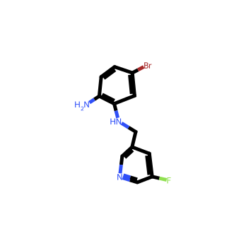 Nc1ccc(Br)cc1NCc1cncc(F)c1